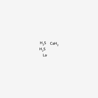 S.S.[CaH2].[La]